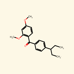 [CH2]CC(CC)c1ccc(C(=O)c2ccc(OC)cc2OC)cc1